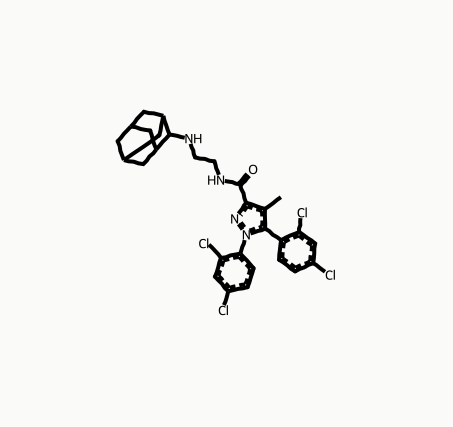 Cc1c(C(=O)NCCNC2C3CC4CC(C3)CC2C4)nn(-c2ccc(Cl)cc2Cl)c1-c1ccc(Cl)cc1Cl